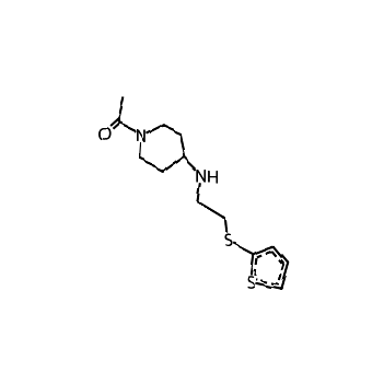 CC(=O)N1CCC(NCCSc2cccs2)CC1